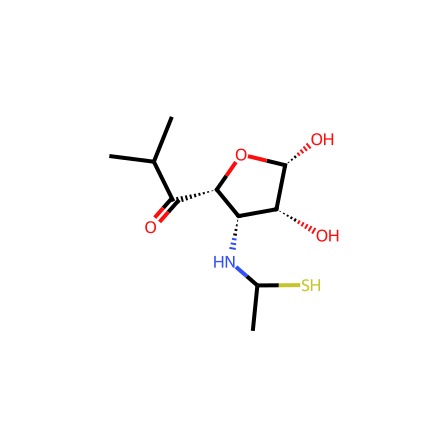 CC(S)N[C@H]1[C@@H](O)[C@@H](O)O[C@H]1C(=O)C(C)C